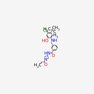 C=CC(=O)N1CC(NC(=O)c2cccc(CNc3cc(C(C)(C)C)c(Cl)cc3O)c2)C1